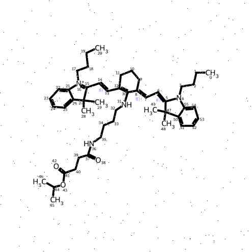 CCCCN1/C(=C/C=C2\CCCC(/C=C/C3=[N+](CCCC)c4ccccc4C3(C)C)=C2NCCCCNC(=O)CCC(=O)OC(C)C)C(C)(C)c2ccccc21